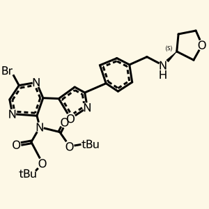 CC(C)(C)OC(=O)N(C(=O)OC(C)(C)C)c1ncc(Br)nc1-c1cc(-c2ccc(CN[C@H]3CCOC3)cc2)no1